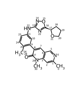 Cc1cc2c(cn1)cc(-c1cc(Nc3noc([C@H]4CCCO4)n3)ccc1C)c(=O)n2C